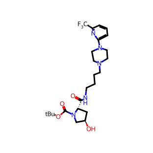 CC(C)(C)OC(=O)N1C[C@H](O)C[C@H]1C(=O)NCCCCN1CCN(c2cccc(C(F)(F)F)n2)CC1